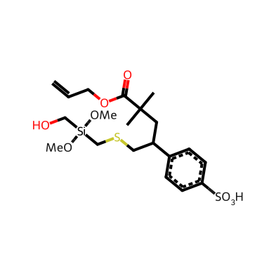 C=CCOC(=O)C(C)(C)CC(CSC[Si](CO)(OC)OC)c1ccc(S(=O)(=O)O)cc1